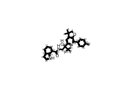 CC1(C)COc2c1cc([C@@](O)(CNC(=O)c1cccc3cc[nH]c13)C(F)(F)F)nc2-c1ccc(F)cc1